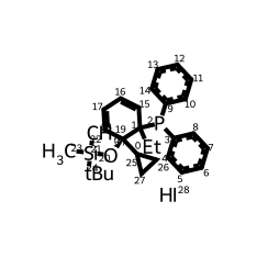 CCC1(P(c2ccccc2)c2ccccc2)C=CC=C[C@@]1(O[Si](C)(C)C(C)(C)C)C1CC1.I